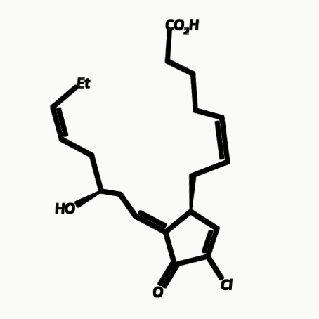 CC/C=C\C[C@H](O)C/C=C1/C(=O)C(Cl)=C[C@@H]1C/C=C\CCCC(=O)O